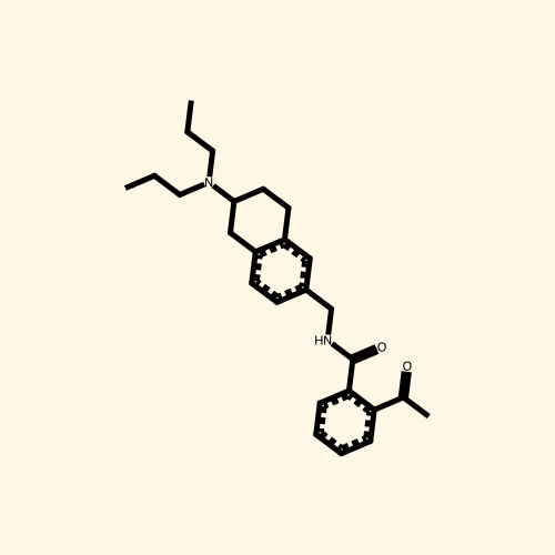 CCCN(CCC)C1CCc2cc(CNC(=O)c3ccccc3C(C)=O)ccc2C1